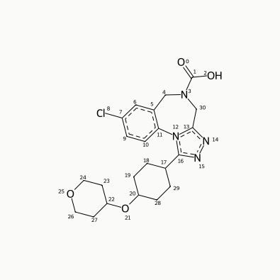 O=C(O)N1Cc2cc(Cl)ccc2-n2c(nnc2C2CCC(OC3CCOCC3)CC2)C1